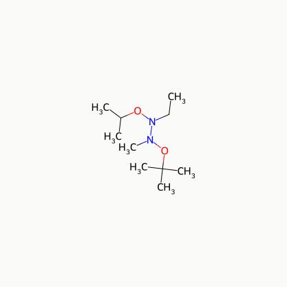 CCN(OC(C)C)N(C)OC(C)(C)C